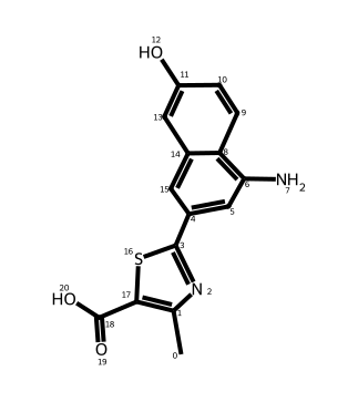 Cc1nc(-c2cc(N)c3ccc(O)cc3c2)sc1C(=O)O